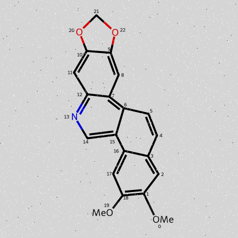 COc1cc2ccc3c4cc5c(cc4ncc3c2cc1OC)OCO5